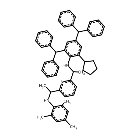 Cc1cc(C)c(NC(C)c2cccc(C(C)Nc3c(C4CCCC4)cc(C(c4ccccc4)c4ccccc4)cc3C(c3ccccc3)c3ccccc3)n2)c(C)c1